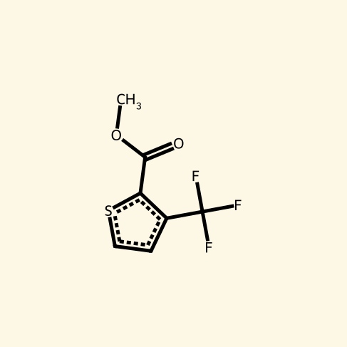 COC(=O)c1sccc1C(F)(F)F